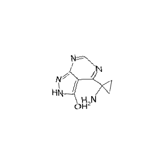 NC1(c2ncnc3n[nH]c(O)c23)CC1